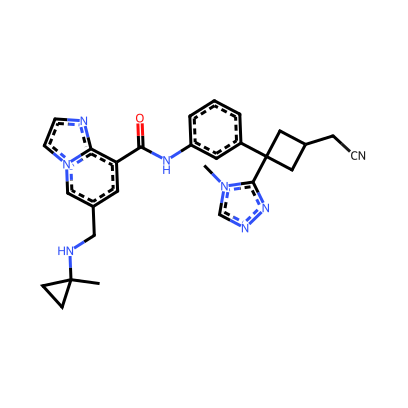 Cn1cnnc1C1(c2cccc(NC(=O)c3cc(CNC4(C)CC4)cn4ccnc34)c2)CC(CC#N)C1